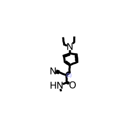 CCN(CC)c1ccc(/C=C(\C#N)C(=O)NC)cc1